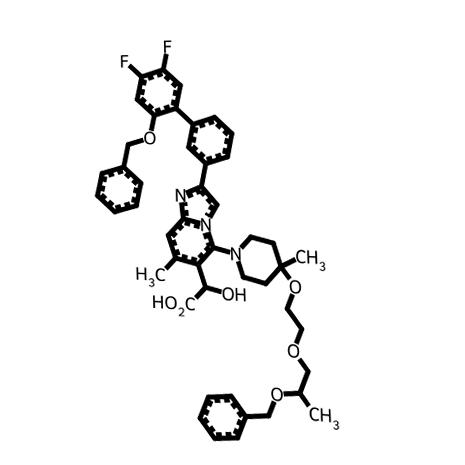 Cc1cc2nc(-c3cccc(-c4cc(F)c(F)cc4OCc4ccccc4)c3)cn2c(N2CCC(C)(OCCOCC(C)OCc3ccccc3)CC2)c1C(O)C(=O)O